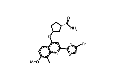 COc1ccc2c(O[C@H]3CC[C@H](C(N)=O)C3)cc(-c3nc(C(C)C)cs3)nc2c1C